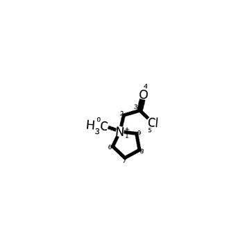 C[N+]1(CC(=O)Cl)CCCC1